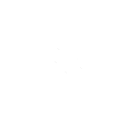 COCCN(C)c1nc(Cl)ncc1C(=O)NC(C)(C)C